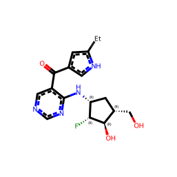 CCc1cc(C(=O)c2cncnc2N[C@@H]2C[C@H](CO)[C@@H](O)[C@@H]2F)c[nH]1